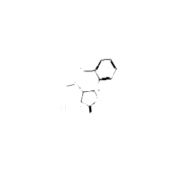 C[C@H]1C(=O)N[C@H](c2ccccc2Cl)C1NCl